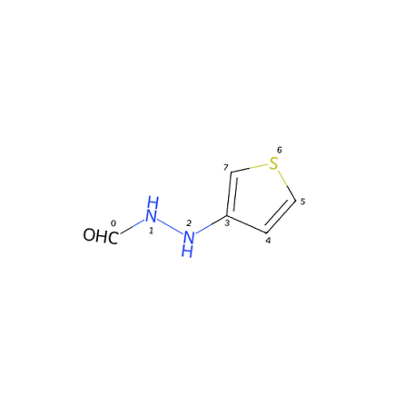 O=CNNc1ccsc1